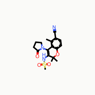 Cc1c(C#N)ccc2c1C(N1CCCC1=O)=C(NS(C)(=O)=O)C(C)(C)O2